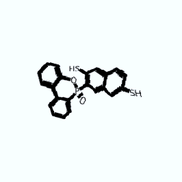 O=P1(c2cc3cc(S)ccc3cc2S)Oc2ccccc2-c2ccccc21